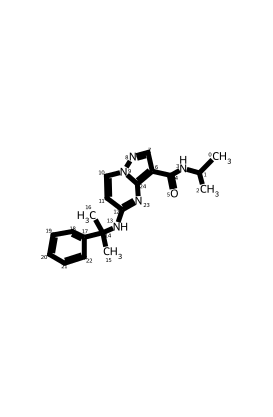 CC(C)NC(=O)c1cnn2ccc(NC(C)(C)c3ccccc3)nc12